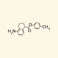 Cc1ccc(OC(=O)C2CCCc3c(N)cccc32)cc1